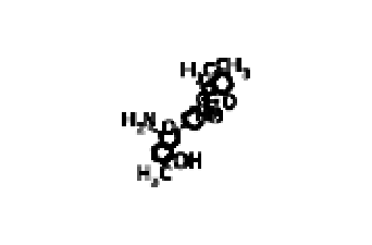 Cc1ccc2c(c1O)C[C@@H](C1CCN(S(=O)(=O)C[C@]34CCC3C(C)(C)CCC4=O)CC1)O[C@H]2CN